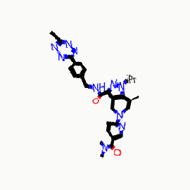 Cc1nnc(-c2ccc(CNC(=O)c3nn(C(C)C)c4c3CN(c3ccc(C(=O)N(C)C)cn3)C[C@@H]4C)cc2)nn1